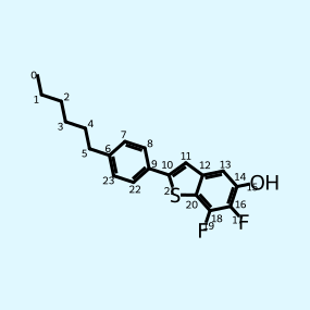 CCCCCCc1ccc(-c2cc3cc(O)c(F)c(F)c3s2)cc1